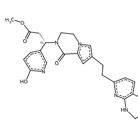 COC(=O)C[C@@H](c1ccc(O)nc1)N1CCn2cc(CCc3ccc4c(n3)NCCC4)cc2C1=O